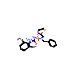 CC(C)c1cccc(C(C)C)c1NC(=O)NS(=O)(=O)N(Cc1ccccc1)Cc1nccs1